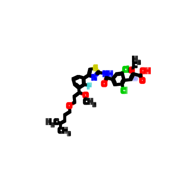 CO/C(=C\c1c(Cl)cc(C(=O)Nc2nc(-c3cccc(C(CCOCCCC(C)C)OC)c3F)cs2)cc1Cl)C(=O)O